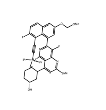 COCOc1cc(-c2nc(C)c3c(C4CCC[C@@H](O)C4)nc(SC)nc3c2F)c2c(C#C[Si](C(C)C)(C(C)C)C(C)C)c(F)ccc2c1